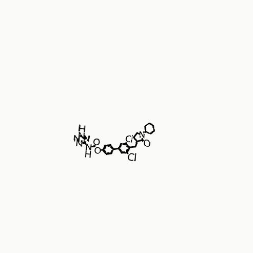 O=C(Nc1nn[nH]n1)Oc1ccc(-c2cc(Cl)c(CC3CCN(C4CCCCC4)C3=O)c(Cl)c2)cc1